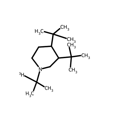 [3H]C(C)(C)N1CCC(C(C)(C)C)C(C(C)(C)C)C1